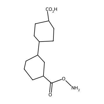 NOC(=O)C1CCCC(C2CCC(C(=O)O)CC2)C1